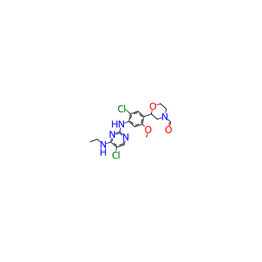 CCNc1nc(Nc2cc(OC)c(C3CN(C=O)CCO3)cc2Cl)ncc1Cl